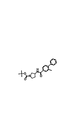 Cc1cc(C(=O)NC2CCN(C(=O)OC(C)(C)C)C2)ccc1-c1ccccc1